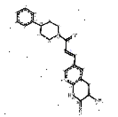 NC1Cc2cc(/C=C/C(=O)N3CCC(c4ccccc4)CC3)cnc2NC1=O